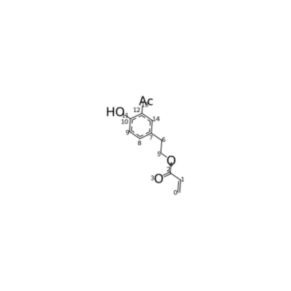 C=CC(=O)OCCc1ccc(O)c(C(C)=O)c1